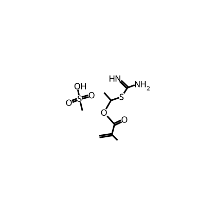 C=C(C)C(=O)OC(C)SC(=N)N.CS(=O)(=O)O